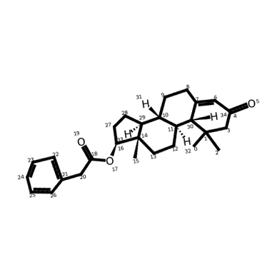 CC1(C)CC(=O)C=C2CC[C@@H]3[C@H](CC[C@]4(C)[C@@H](OC(=O)Cc5ccccc5)CC[C@@H]34)[C@H]21